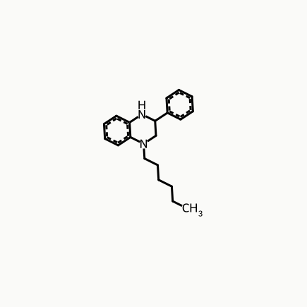 CCCCCCN1CC(c2ccccc2)Nc2ccccc21